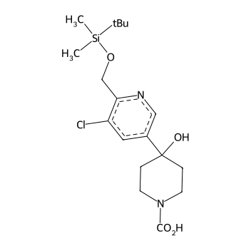 CC(C)(C)[Si](C)(C)OCc1ncc(C2(O)CCN(C(=O)O)CC2)cc1Cl